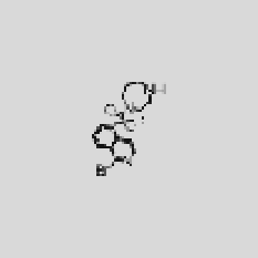 C[C@H]1CNCCCN1S(=O)(=O)c1cccc2c(Br)nccc12